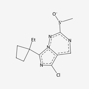 CCC1(c2nc(Cl)c3cnc([S+](C)[O-])nn23)CCC1